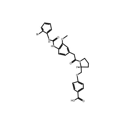 COc1cc(CC(=O)N2CCC[C@]2(F)COc2ccc(C(=O)O)cc2)ccc1NC(=O)Nc1ccccc1Br